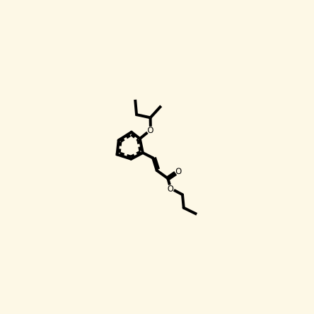 CCCOC(=O)C=Cc1ccccc1OC(C)CC